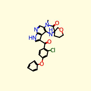 CN1C(=O)C2(CCCOC2)Nc2c1cnc1[nH]cc(C(=O)c3ccc(Oc4ccccc4)cc3Cl)c21